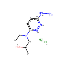 CCN(CC(C)O)c1ccc(NN)nn1.Cl.Cl